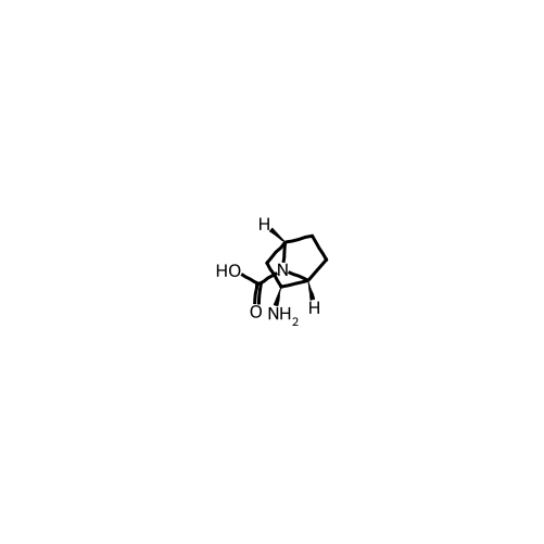 N[C@H]1C[C@@H]2CC[C@H]1N2C(=O)O